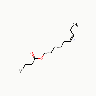 CC/C=C\CCCCCOC(=O)CCC